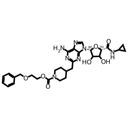 Nc1nc(CC2CCN(C(=O)OCCOCc3ccccc3)CC2)nc2c1ncn2[C@@H]1O[C@H](C(=O)NC2CC2)C(O)C1O